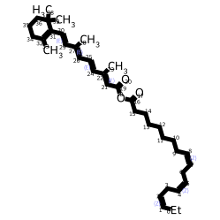 CC/C=C\C/C=C\C/C=C\CCCCCCCC(=O)OC(=O)/C=C(C)/C=C/C=C(C)/C=C/C1=C(C)CCCC1(C)C